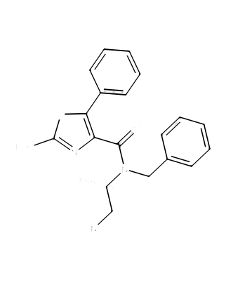 Cc1nc(C(=O)N(Cc2ccccc2)[C@H](CN)C(C)C)c(-c2ccccc2)s1